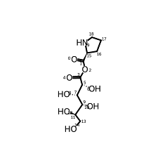 O=C(OC(=O)[C@H](O)[C@@H](O)[C@H](O)[C@H](O)CO)[C@@H]1CCCN1